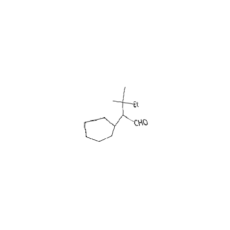 CCC(C)(C)C(C=O)C1CCCCC1